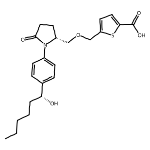 CCCCC[C@@H](O)c1ccc(N2C(=O)CC[C@@H]2COCc2ccc(C(=O)O)s2)cc1